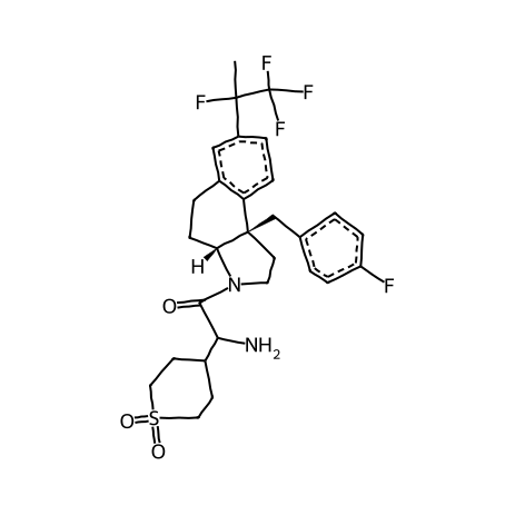 CC(F)(c1ccc2c(c1)CC[C@H]1N(C(=O)C(N)C3CCS(=O)(=O)CC3)CC[C@@]21Cc1ccc(F)cc1)C(F)(F)F